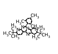 Cc1cc(C)c(-c2nc3nc(C(C)(C)C)ccc3c3nc4cc(C(C)(C)C)ncc4n23)c(C)c1